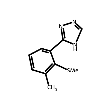 CSc1c(C)cccc1-c1nnc[nH]1